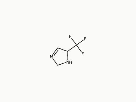 FC(F)(F)C1C=N[C]N1